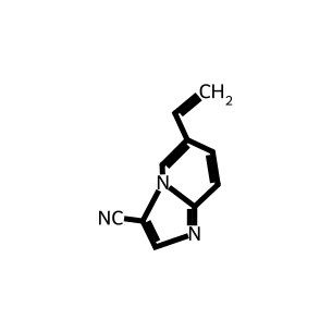 C=Cc1ccc2ncc(C#N)n2c1